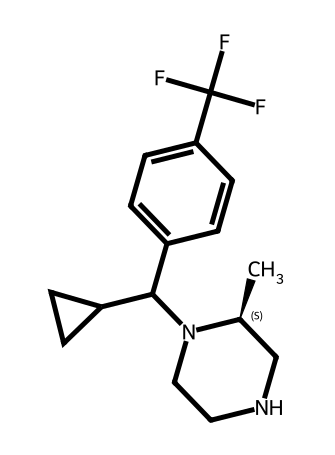 C[C@H]1CNCCN1C(c1ccc(C(F)(F)F)cc1)C1CC1